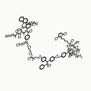 CCC[C@@](NC(N)=O)(NC(=O)[C@@H](NC(=O)CCCCCN1C(=O)C=CC1=O)C(C)C)C(=O)Nc1ccc(COc2ccc(/C(=C(\CC)c3ccccc3)c3ccc(OCCN(C)C(=O)COCCOCCN(C=O)c4ccc(C(=O)N5c6cc(C#N)ccc6N(Cc6c(OC)ccc7ccccc67)C(=O)[C@@H](NC(=O)[C@H](C)NC)[C@@H]5C)cc4)cc3)cc2)cc1